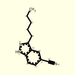 CCCCCc1n[nH]c2ccc(C#N)cc12